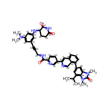 CC(C)c1cc(-c2cccc3cc(-c4ccc(C(=O)NCC#Cc5cc(NC6CCC(=O)NC6=O)cc(N(C)C)c5)nc4)ncc23)cc2c1n(C)c(=O)n2C